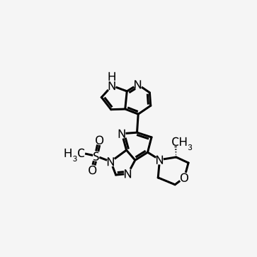 C[C@@H]1COCCN1c1cc(-c2ccnc3[nH]ccc23)nc2c1ncn2S(C)(=O)=O